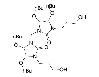 CCCCOC1C(OCCCC)N(CN2C(=O)N(CCCO)C(OCCCC)C2OCCCC)C(=O)N1CCCO